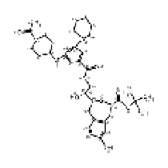 CC(=O)N1CCC(Nc2cc(C(=O)NC[C@@H](O)[C@@H]3Cc4ccc(O)cc4CN(C(=O)OC(C)(C)C)S3)cc(N3CCCCC3)c2)CC1